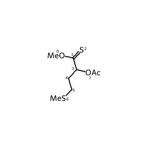 COC(=S)C(CCSC)OC(C)=O